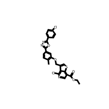 CCOC(=O)c1cnc(Cl)c2c(COc3cc(-c4nnc(-c5ccc(Cl)cc5)o4)ccc3C)csc12